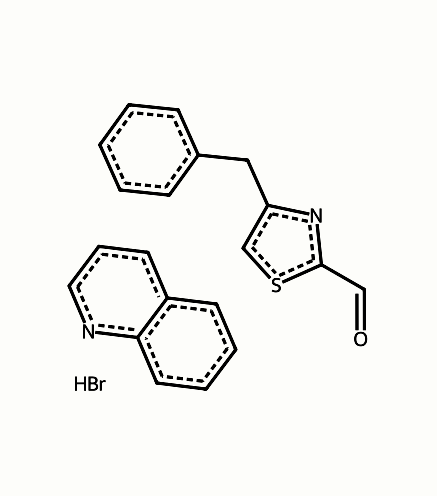 Br.O=Cc1nc(Cc2ccccc2)cs1.c1ccc2ncccc2c1